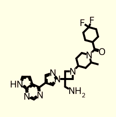 CC1CC(N2CC(CN)(n3cc(-c4ncnc5[nH]ccc45)cn3)C2)CCN1C(=O)C1CCC(F)(F)CC1